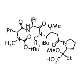 CC[C@H](C)[C@@H]([C@@H](CC(=O)N1CCC[C@H]1[C@@](CC)(OC)C(=O)O)OC)N(C)C(=O)[C@@H](NC(=O)[C@H](C(C)C)N(C)C(=O)OC(C)(C)C)C(C)C